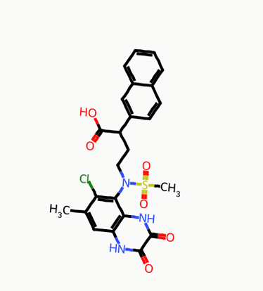 Cc1cc2[nH]c(=O)c(=O)[nH]c2c(N(CCC(C(=O)O)c2ccc3ccccc3c2)S(C)(=O)=O)c1Cl